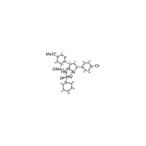 COc1ccc(-c2cc(-c3ccc(Cl)cc3)nn2NS(=O)(=O)c2ccccc2)c(OC)c1